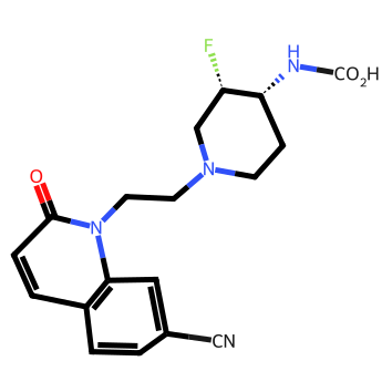 N#Cc1ccc2ccc(=O)n(CCN3CC[C@@H](NC(=O)O)[C@@H](F)C3)c2c1